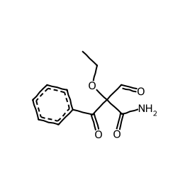 CCOC(C=O)(C(N)=O)C(=O)c1ccccc1